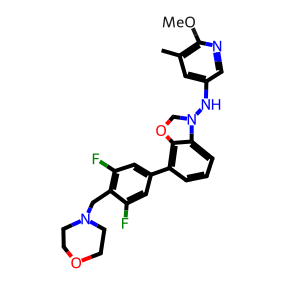 COc1ncc(NN2COc3c(-c4cc(F)c(CN5CCOCC5)c(F)c4)cccc32)cc1C